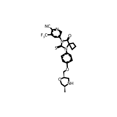 C[C@H]1CO[C@@H](COc2ccc(N3C(=S)N(c4cnc(C#N)c(C(F)(F)F)c4)C(=O)C34CCC4)cc2)CN1